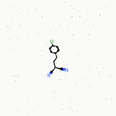 N#CC(C#N)CCc1ccc(Cl)cc1